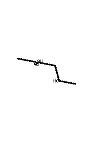 CCCCCCCCCCCCCCCCCCCCCC[C@@H](C(=O)OC)[C@H](O)CCCCCCCCCCCCCCCCC[C@H](C)/C=C/CCCCCCCCCCCCCCC[C@@H](O)[C@@H](C)CCCCCCCCCCCCCCCCCC